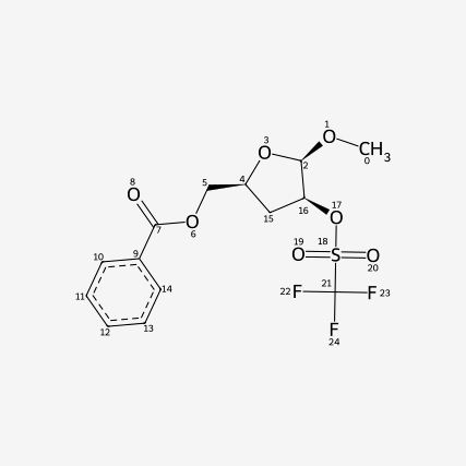 CO[C@@H]1O[C@H](COC(=O)c2ccccc2)C[C@@H]1OS(=O)(=O)C(F)(F)F